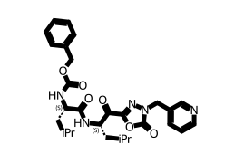 CC(C)C[C@H](NC(=O)OCc1ccccc1)C(=O)N[C@@H](CC(C)C)C(=O)c1nn(Cc2cccnc2)c(=O)o1